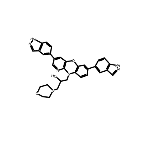 OC(CN1CCOCC1)CN1c2ccc(-c3ccc4[nH]ncc4c3)cc2Oc2cc(-c3ccc4[nH]ncc4c3)cnc21